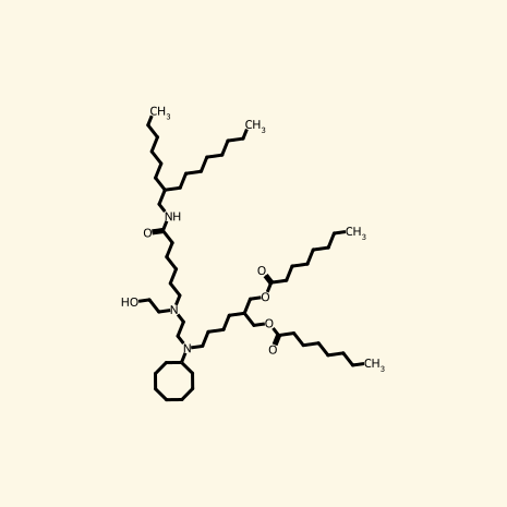 CCCCCCCCC(CCCCCC)CNC(=O)CCCCCN(CCO)CCN(CCCCC(COC(=O)CCCCCCC)COC(=O)CCCCCCC)C1CCCCCCC1